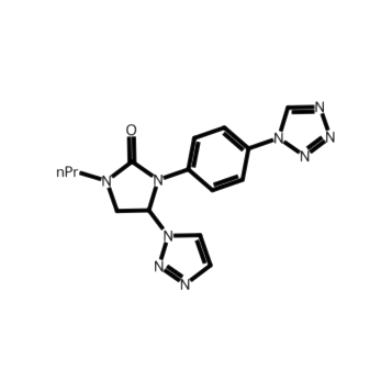 CCCN1CC(n2ccnn2)N(c2ccc(-n3cnnn3)cc2)C1=O